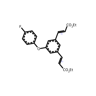 CCOC(=O)/C=C/c1cc(/C=C/C(=O)OCC)cc(Oc2ccc(F)cc2)c1